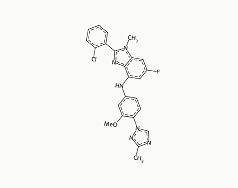 COc1cc(Nc2cc(F)cc3c2nc(-c2ccccc2Cl)n3C)ccc1-n1cnc(C)n1